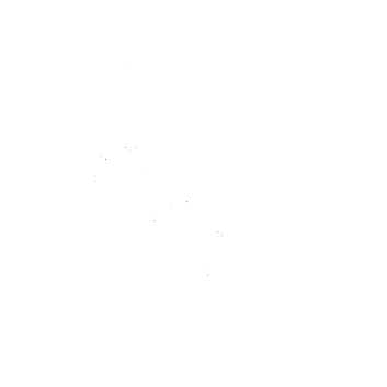 Fc1ccccc1Cn1ncc2cnc(Nc3ccnc(OCC(F)F)n3)cc21